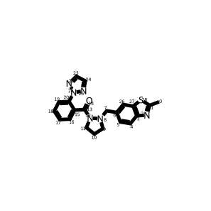 Cc1nc2ccc(CN3CCCN3C(=O)c3ccccc3-n3nccn3)cc2s1